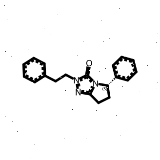 O=c1n(CCc2ccccc2)nc2n1[C@H](c1ccccc1)CC2